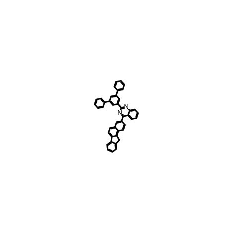 c1ccc(-c2cc(-c3ccccc3)cc(-c3nc(-c4ccc5c6c(ccc5c4)-c4ccccc4C6)c4ccccc4n3)c2)cc1